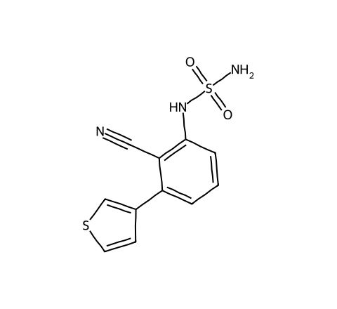 N#Cc1c(NS(N)(=O)=O)cccc1-c1ccsc1